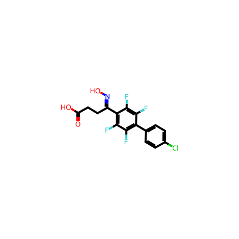 O=C(O)CC/C(=N\O)c1c(F)c(F)c(-c2ccc(Cl)cc2)c(F)c1F